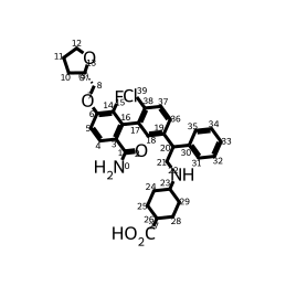 NC(=O)c1ccc(OC[C@@H]2CCCO2)c(F)c1-c1cc(C(CNC2CCC(C(=O)O)CC2)c2ccccc2)ccc1Cl